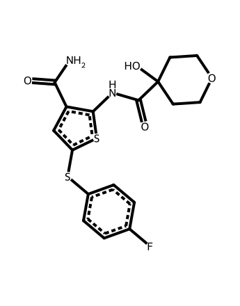 NC(=O)c1cc(Sc2ccc(F)cc2)sc1NC(=O)C1(O)CCOCC1